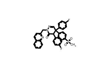 CS(=O)(=O)c1ccc(C2(c3ccc(F)cc3)C=NN(Cc3ccc4ccccc4n3)C(=O)C2c2ccc(F)cc2)cc1